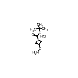 CC(C)(C)OC(=O)N1CC(ON)C1.Cl